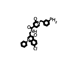 O=C(NCc1cn(-c2ccccc2)c2cc(Cl)ccc2c1=O)c1ccn(Cc2cccc(P)c2)c(=O)c1